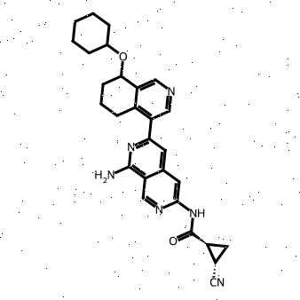 N#C[C@H]1C[C@@H]1C(=O)Nc1cc2cc(-c3cncc4c3CCCC4OC3CCCCC3)nc(N)c2cn1